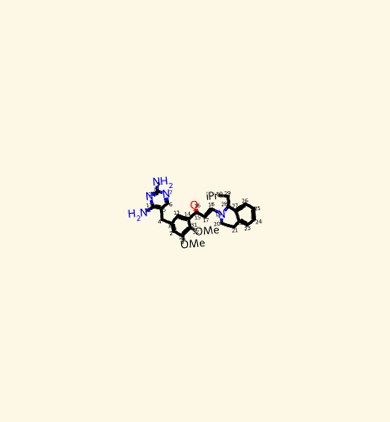 COc1cc(Cc2cnc(N)nc2N)cc(C(=O)/C=C/N2CCc3ccccc3C2CC(C)C)c1OC